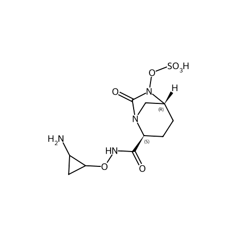 NC1CC1ONC(=O)[C@@H]1CC[C@@H]2CN1C(=O)N2OS(=O)(=O)O